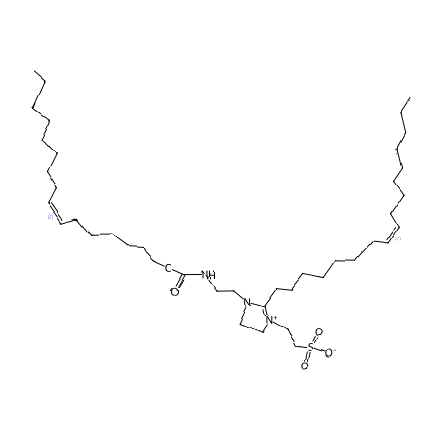 CCCCCCCC/C=C\CCCCCCCC(=O)NCCN1CC[N+](CCS(=O)(=O)[O-])=C1CCCCCCC/C=C\CCCCCCCC